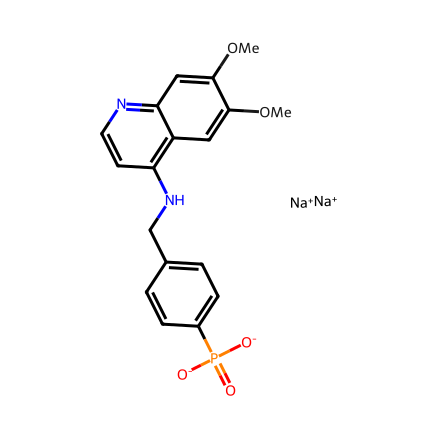 COc1cc2nccc(NCc3ccc(P(=O)([O-])[O-])cc3)c2cc1OC.[Na+].[Na+]